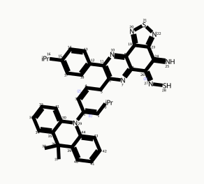 CC(C)/C=C(\C=C/Cc1nc2c(nc1-c1ccc(C(C)C)cc1)-c1nsnc1C(=N)/C2=N\S)N1c2ccccc2C(C)(C)c2ccccc21